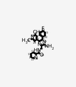 Cc1cc(-c2nc(CNC(=O)c3ccccn3)c(N)nc2-c2ccc(F)cc2)cc(C)n1